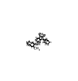 Cc1cc2nncn2cc1Nc1ncc2c(n1)n(N1CC3CCC(C1)O3)c(=O)n2C